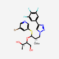 CO[C@@H](Cn1cc(-c2cc(F)c(F)c(F)c2)nn1)C(OC(CO)[C@@H](C)O)Sc1cncc(Br)c1